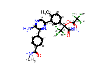 CNC(=O)c1ccc(-c2nc(-c3cc(C(OC(=O)C(F)(F)F)(C(N)=O)C(F)(F)F)ccc3C)cnc2N)cc1